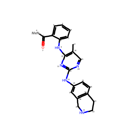 CNC(=O)c1ccccc1Nc1nc(Nc2ccc3c(c2)CNCC3)ncc1C